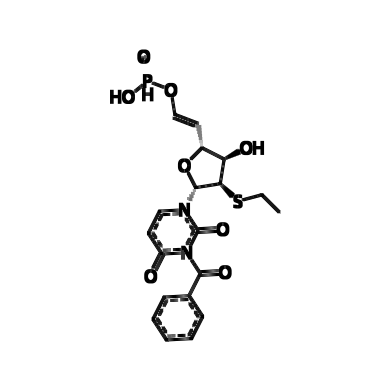 CCS[C@@H]1[C@H](O)[C@@H](/C=C/O[PH](=O)O)O[C@H]1n1ccc(=O)n(C(=O)c2ccccc2)c1=O